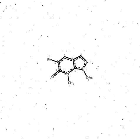 CC(=O)On1ncc2cc(Br)c(=O)n(C)c21